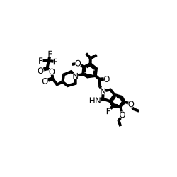 CCOc1cc2c(c(F)c1OCC)C(=N)N(CC(=O)c1cc(C(C)C)c(OC)c(N3CCC(CC(=O)OC(=O)C(F)(F)F)CC3)c1)C2